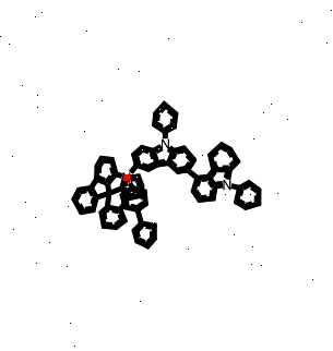 c1ccc(-c2ccc(N(c3ccc4c(c3)c3cc(-c5cccc6c5c5ccccc5n6-c5ccccc5)ccc3n4-c3ccccc3)c3cccc4c3C3(c5ccccc5-c5ccccc53)c3ccccc3-4)cc2)cc1